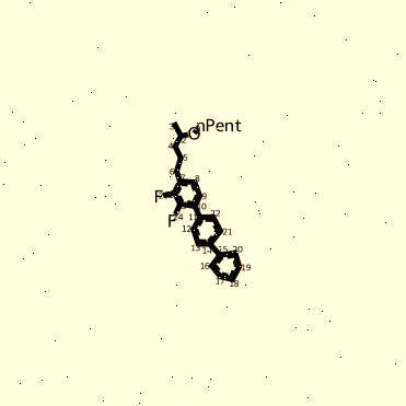 CCCCCOC(C)CCCc1ccc(-c2ccc(-c3ccccc3)cc2)c(F)c1F